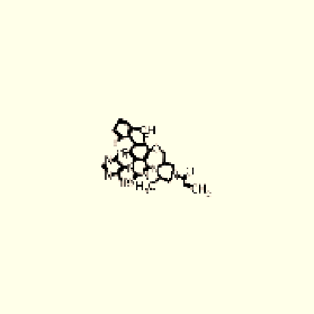 C=CC(=O)N1CC(C)N2c3nc(=O)n(-c4c(C(C)C)ncnc4C(C)C)c4c(F)c(-c5c(O)cccc5F)c(F)c(c34)OCC2C1